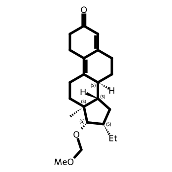 CC[C@H]1C[C@H]2[C@@H]3CCC4=CC(=O)CCC4=C3CC[C@]2(C)[C@H]1OCOC